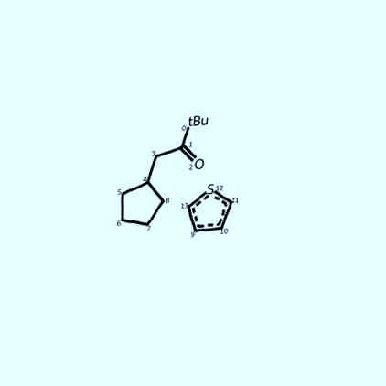 CC(C)(C)C(=O)CC1CCCC1.c1ccsc1